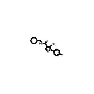 Cc1c(C(=O)NCC2CCCCC2)cnn1-c1ccc(F)cc1